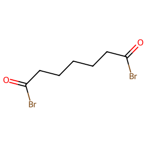 O=C(Br)CCCCCC(=O)Br